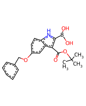 CC(C)(C)OC(=O)c1c(B(O)O)[nH]c2ccc(OCc3ccccc3)cc12